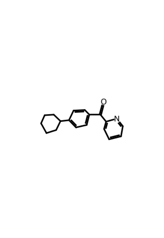 O=C(c1ccc(C2CCCCC2)cc1)c1ccccn1